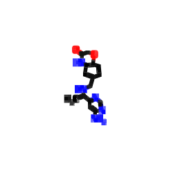 C=C(NCc1ccc2c(c1)NC(=O)CO2)c1cc(N)ncn1